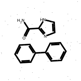 NC(=O)c1ncc[nH]1.c1ccc(-c2ccccc2)cc1